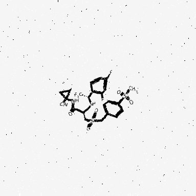 CS(=O)(=O)c1ccc(CS(=O)(=O)C[C@H](N[C@@H](c2ccc(F)cc2F)C(F)(F)F)C(=O)NC2(C#N)CC2)cc1